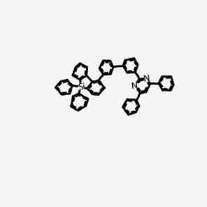 c1ccc(-c2cc(-c3ccccc3)nc(-c3cccc(-c4cccc(-c5cccc6c5-c5ccccc5[Si]6(c5ccccc5)c5ccccc5)c4)c3)n2)cc1